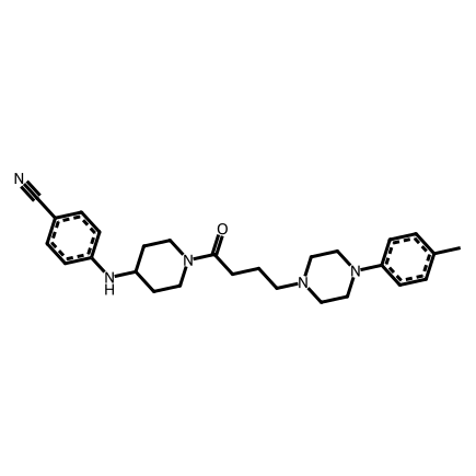 Cc1ccc(N2CCN(CCCC(=O)N3CCC(Nc4ccc(C#N)cc4)CC3)CC2)cc1